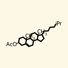 CC(=O)O[C@H]1CC[C@@]2(C)C(=CCC3C4CCC(CCCCC(C)C)[C@@]4(C)CCC32)C1